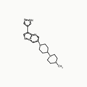 CN1CCN(C2CCN(c3cnc4c(-c5cn[nH]c5)cnn4c3)CC2)CC1